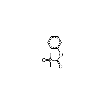 CP(C)(=O)C(=O)Oc1ccccc1